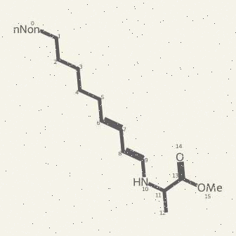 CCCCCCCCCCCCCCC=CC=CNC(C)C(=O)OC